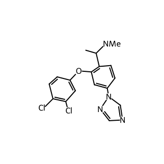 CNC(C)c1ccc(-n2cncn2)cc1Oc1ccc(Cl)c(Cl)c1